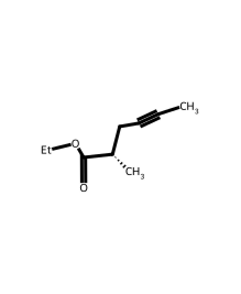 CC#CC[C@H](C)C(=O)OCC